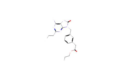 CCOC(=O)CCc1nc(N)c2[nH]c(=O)n(Cc3cccc(CC(=O)OCCF)c3)c2n1